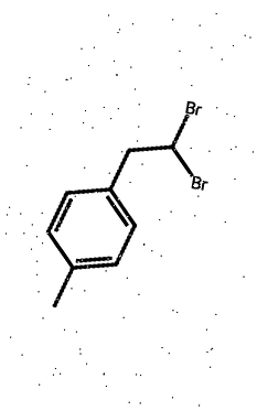 Cc1ccc(CC(Br)Br)cc1